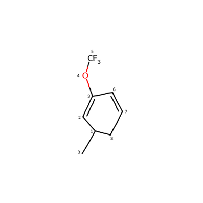 CC1C=C(OC(F)(F)F)C=CC1